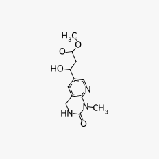 COC(=O)CC(O)c1cnc2c(c1)CNC(=O)N2C